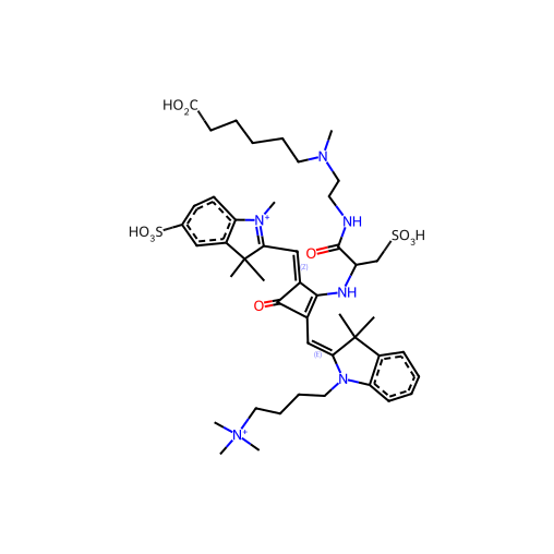 CN(CCCCCC(=O)O)CCNC(=O)C(CS(=O)(=O)O)NC1=C(/C=C2/N(CCCC[N+](C)(C)C)c3ccccc3C2(C)C)C(=O)/C1=C\C1=[N+](C)c2ccc(S(=O)(=O)O)cc2C1(C)C